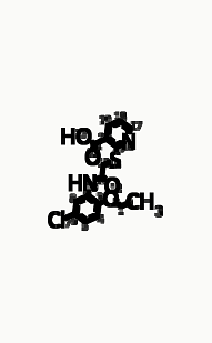 CCOc1ccc(Cl)cc1NC(=O)CSc1ncccc1C(=O)O